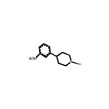 CC(=O)Nc1cccc(C2CCN(C(C)=O)CC2)c1